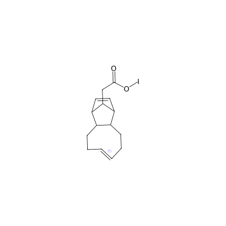 O=C(CC1C2C=CC1C1CC/C=C/CCC21)OI